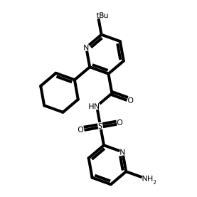 CC(C)(C)c1ccc(C(=O)NS(=O)(=O)c2cccc(N)n2)c(C2=CCCCC2)n1